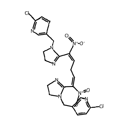 O=[N+]([O-])/C(=C/C/C=C(\C1=NCCN1Cc1ccc(Cl)nc1)[N+](=O)[O-])C1=NCCN1Cc1ccc(Cl)nc1